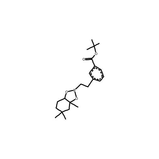 CC1(C)CCC2OB(CCc3cccc(C(=O)OC(C)(C)C)c3)OC2(C)C1